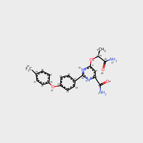 C[C@H](Oc1cc(C(N)=O)nc(-c2ccc(Oc3ccc(C(F)(F)F)cc3)cc2)n1)C(N)=O